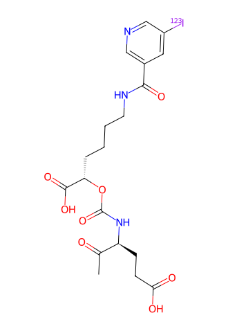 CC(=O)[C@H](CCC(=O)O)NC(=O)O[C@@H](CCCCNC(=O)c1cncc([123I])c1)C(=O)O